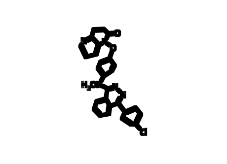 CN(c1ccc(On2c(=O)ccc3ncccc32)cc1)c1nnc(-c2ccc(Cl)cc2)c2ccccc12